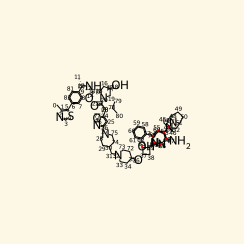 Cc1ncsc1-c1ccc([C@H](C)NC(=O)[C@@H]2C[C@@H](O)CN2C(=O)[C@@H](c2cc(N3CCC(CN4CCC(O[C@H]5C[C@H](N6CCC(C(C)(C)N7C8CCC7CN(c7cc(-c9ccccc9O)nnc7N)C8)CC6)C5)CC4)CC3)no2)C(C)C)cc1